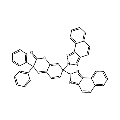 O=C1OC2=CC(n3nc4ccc5ccccc5c4n3)(n3nc4ccc5ccccc5c4n3)C=CC2=CC1(c1ccccc1)c1ccccc1